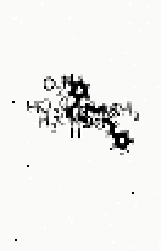 CC1=C(C(=O)O)C(c2cccc([N+](=O)[O-])c2)N(CCCN(C)C(=O)CCC2CCCC2)C(=O)N1